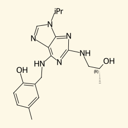 Cc1ccc(O)c(CNc2nc(NC[C@@H](C)O)nc3c2ncn3C(C)C)c1